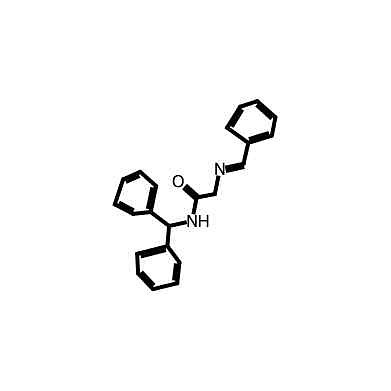 O=C(C/N=C/c1ccccc1)NC(c1ccccc1)c1ccccc1